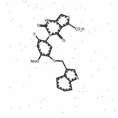 COc1cc(F)c(-n2c(=O)[nH]c3csc(C(=O)O)c3c2=O)cc1OCc1csc2ccccc12